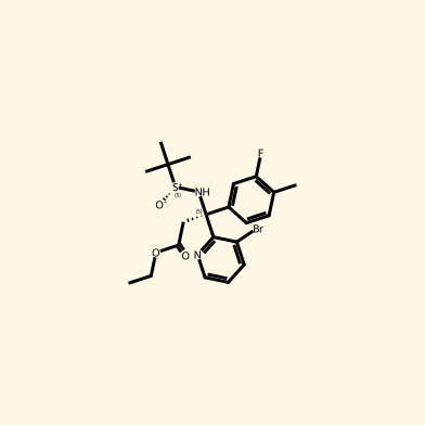 CCOC(=O)C[C@](N[S@+]([O-])C(C)(C)C)(c1ccc(C)c(F)c1)c1ncccc1Br